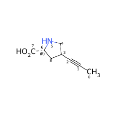 CC#CC1CN[C@@H](C(=O)O)C1